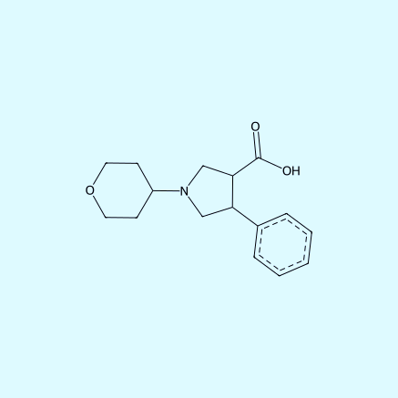 O=C(O)C1CN(C2CCOCC2)CC1c1ccccc1